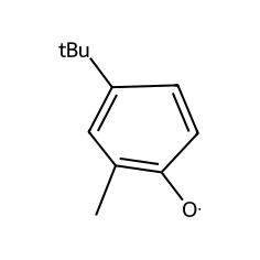 Cc1cc(C(C)(C)C)ccc1[O]